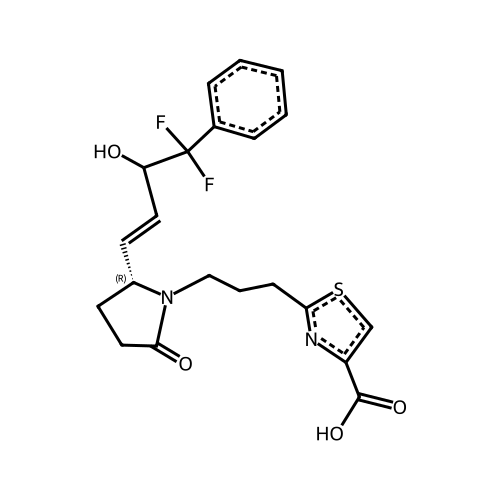 O=C(O)c1csc(CCCN2C(=O)CC[C@@H]2C=CC(O)C(F)(F)c2ccccc2)n1